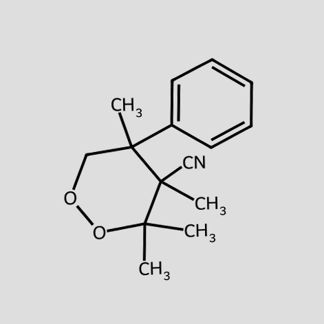 CC1(C)OOCC(C)(c2ccccc2)C1(C)C#N